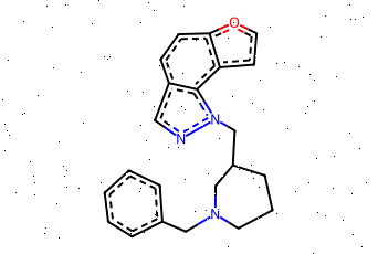 c1ccc(CN2CCCC(Cn3ncc4ccc5occc5c43)C2)cc1